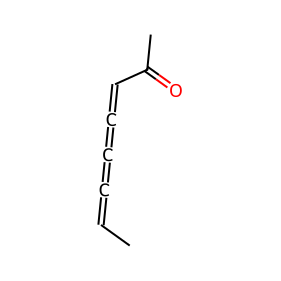 CC=C=C=C=CC(C)=O